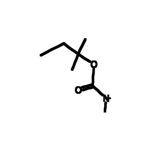 CCC(C)(C)OC(=O)[N]C